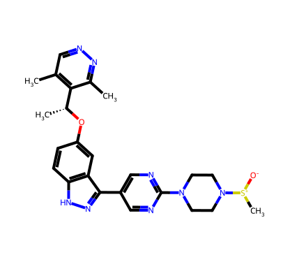 Cc1cnnc(C)c1[C@@H](C)Oc1ccc2[nH]nc(-c3cnc(N4CCN([S+](C)[O-])CC4)nc3)c2c1